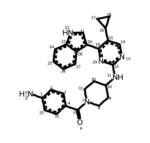 Nc1ccc(C(=O)N2CCC(Nc3ncc(C4CC4)c(-c4c[nH]c5ccccc45)n3)CC2)cc1